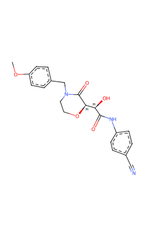 COc1ccc(CN2CCO[C@H]([C@@H](O)C(=O)Nc3ccc(C#N)cc3)C2=O)cc1